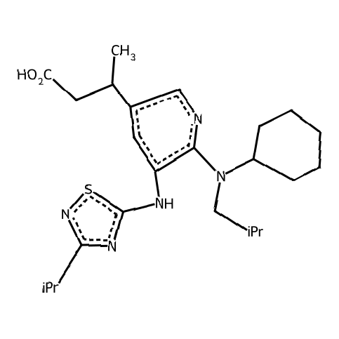 CC(C)CN(c1ncc(C(C)CC(=O)O)cc1Nc1nc(C(C)C)ns1)C1CCCCC1